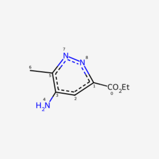 CCOC(=O)c1cc(N)c(C)nn1